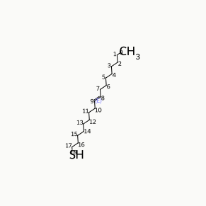 CCCCCCCC/C=C/CCCCCCCCS